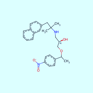 CC(OC[C@H](O)CNC(C)(C)Cc1ccc2ccccc2c1)c1ccc([N+](=O)[O-])cc1